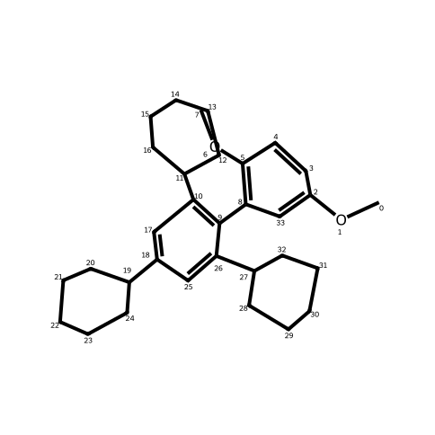 COc1ccc(OC)c(-c2c(C3CCCCC3)cc(C3CCCCC3)cc2C2CCCCC2)c1